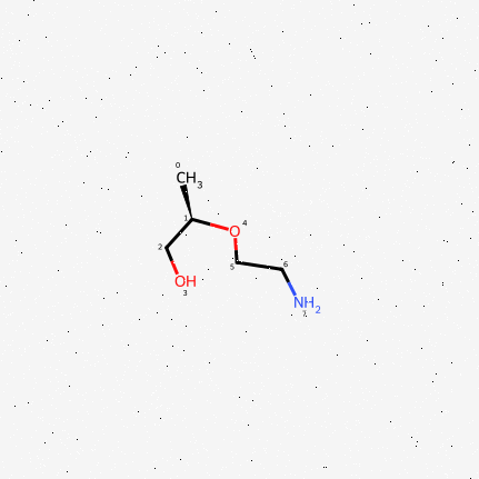 C[C@H](CO)OCCN